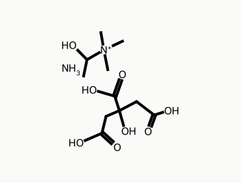 CC(O)[N+](C)(C)C.N.O=C(O)CC(O)(CC(=O)O)C(=O)O